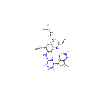 C=CC(=O)Nc1cc(Nc2ncnc(-c3cn(C)c4cnccc34)n2)c(OC)cc1N(C)CCN(C)C